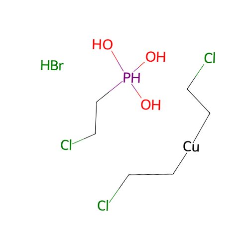 Br.ClC[CH2][Cu][CH2]CCl.O[PH](O)(O)CCCl